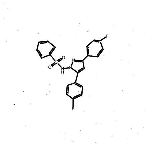 O=S(=O)(Nn1nc(-c2ccc(F)cc2)cc1-c1ccc(F)cc1)c1ccccc1